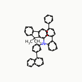 CC1(C)c2ccccc2-c2cccc(N(c3cccc(-c4cccc5ccccc45)c3)c3ccccc3-c3ccc(-c4ccccc4)cc3)c21